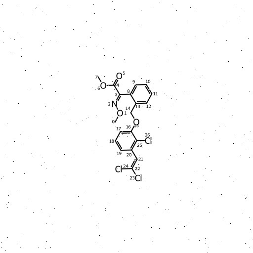 CO/N=C(/C(=O)OC)c1ccccc1COc1cccc(C=C(Cl)Cl)c1Cl